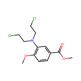 COC(=O)c1ccc(OC)c(N(CCCl)CCCl)c1